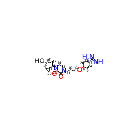 N=C(N)c1ccc(OCCCCN2CCN(C(CC(=O)O)C3CC3)C(=O)C2=O)cc1